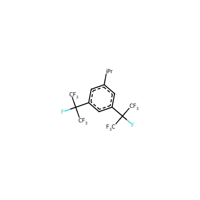 CC(C)c1cc(C(F)(C(F)(F)F)C(F)(F)F)cc(C(F)(C(F)(F)F)C(F)(F)F)c1